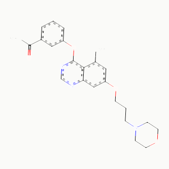 COC(=O)c1cccc(Oc2ncnc3cc(OCCCN4CCOCC4)cc(OC)c23)c1